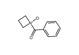 [O][N+]1(C(=O)c2ccccc2)CCC1